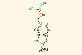 CC(C)(C)C1Cc2ccc(COC(F)F)cc2C1